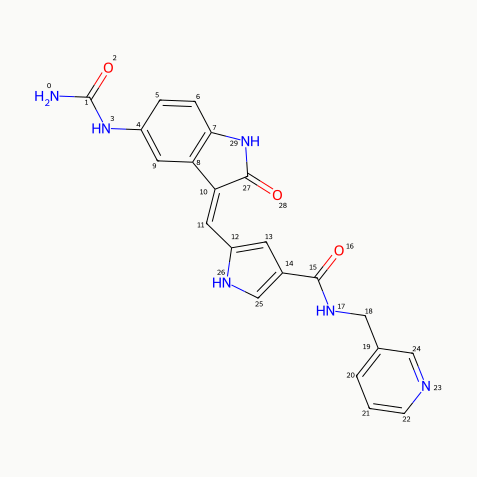 NC(=O)Nc1ccc2c(c1)C(=Cc1cc(C(=O)NCc3cccnc3)c[nH]1)C(=O)N2